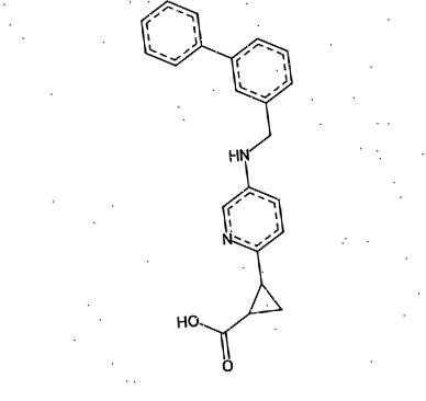 O=C(O)C1CC1c1ccc(NCc2cccc(-c3ccccc3)c2)cn1